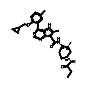 CCC(=O)N[C@@H]1CC[C@H](NC(=O)c2c(C)[nH]c3c(-c4cc(C)ccc4OCC4CC4)ncnc23)[C@H](C)C1